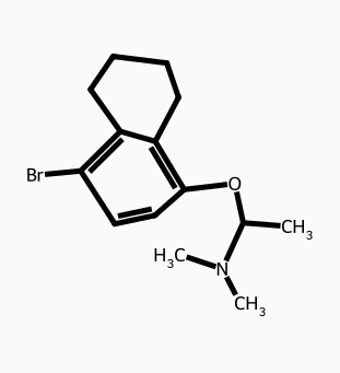 CC(Oc1ccc(Br)c2c1CCCC2)N(C)C